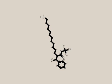 CCCCCCCCCCCCCC(C(=O)CC(F)(F)F)C(Cl)c1ccccc1